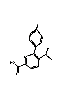 CN(C)c1ccc(C(=O)O)nc1-c1ccc(F)cc1